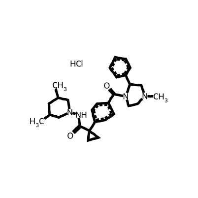 CC1CC(C)CN(NC(=O)C2(c3ccc(C(=O)N4CCN(C)CC4c4ccccc4)cc3)CC2)C1.Cl